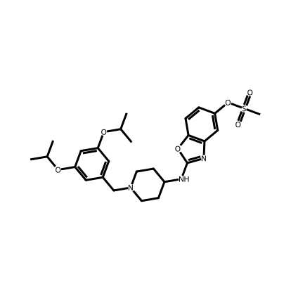 CC(C)Oc1cc(CN2CCC(Nc3nc4cc(OS(C)(=O)=O)ccc4o3)CC2)cc(OC(C)C)c1